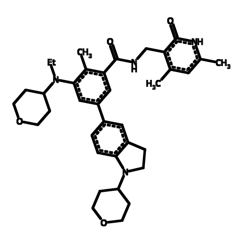 CCN(c1cc(-c2ccc3c(c2)CCN3C2CCOCC2)cc(C(=O)NCc2c(C)cc(C)[nH]c2=O)c1C)C1CCOCC1